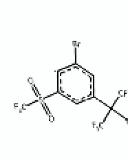 O=S(=O)(c1[c]c(Br)cc(C(F)(C(F)(F)F)C(F)(F)F)c1)C(F)(F)F